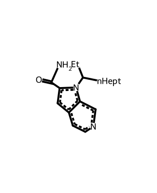 CCCCCCCC(CC)n1c(C(N)=O)cc2ccncc21